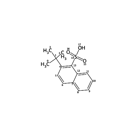 CC(C)(C)c1ccc2ccccc2c1S(=O)(=O)O